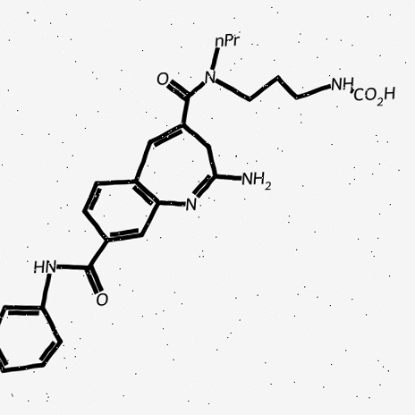 CCCN(CCCNC(=O)O)C(=O)C1=Cc2ccc(C(=O)Nc3ccccc3)cc2N=C(N)C1